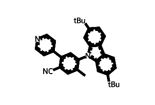 Cc1cc(C#N)c(-c2ccncc2)cc1-n1c2cc(C(C)(C)C)ccc2c2ccc(C(C)(C)C)cc21